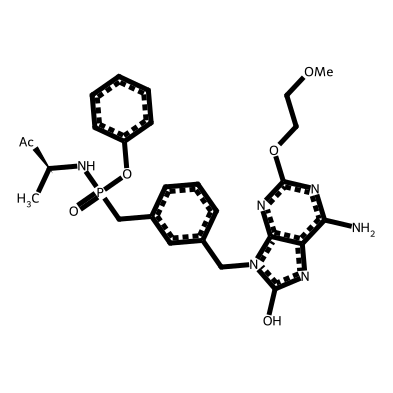 COCCOc1nc(N)c2nc(O)n(Cc3cccc(CP(=O)(N[C@@H](C)C(C)=O)Oc4ccccc4)c3)c2n1